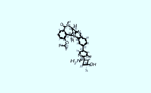 CN1C(=O)c2cccc(OC(F)F)c2[C@H]2C[C@@H]1c1nc3ccc(-c4cnc([C@]5(N)C[C@@](C)(O)C5)c(F)c4)cc3n12